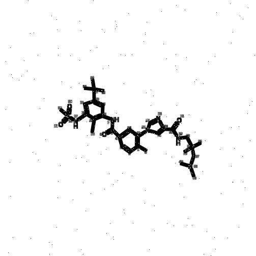 Cc1ccc(C(=O)Nc2cc(C(C)(C)C)cc(NS(C)(=O)=O)c2C)cc1-n1cnc(C(=O)NCC(C)(C)CN(C)C)c1